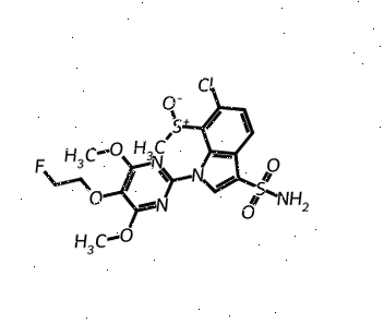 COc1nc(-n2cc(S(N)(=O)=O)c3ccc(Cl)c([S+](C)[O-])c32)nc(OC)c1OCCF